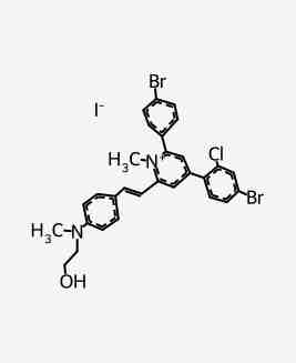 CN(CCO)c1ccc(/C=C/c2cc(-c3ccc(Br)cc3Cl)cc(-c3ccc(Br)cc3)[n+]2C)cc1.[I-]